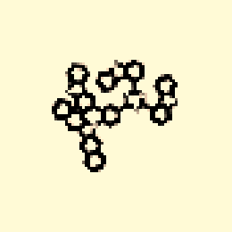 c1ccc2cc3c(cc2c1)c1cc2ccccc2cc1n3-c1ccc(-c2nc(-c3cccc4sc5ccccc5c34)nc(-c3cccc4sc5ccccc5c34)n2)cc1-c1ccc2oc3ccccc3c2c1